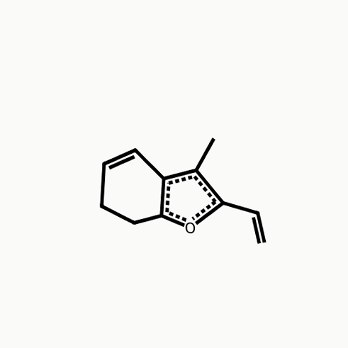 C=Cc1oc2c(c1C)C=CCC2